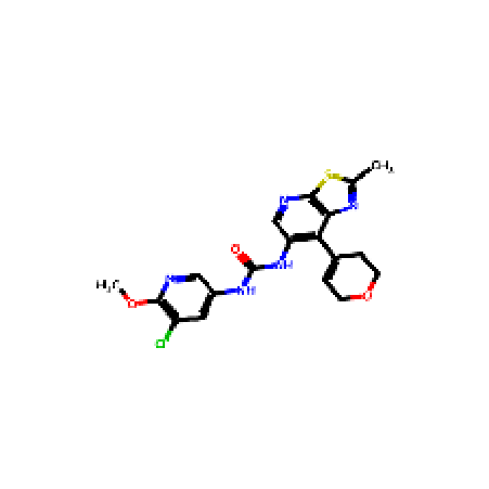 COc1ncc(NC(=O)Nc2cnc3sc(C)nc3c2C2=CCOCC2)cc1Cl